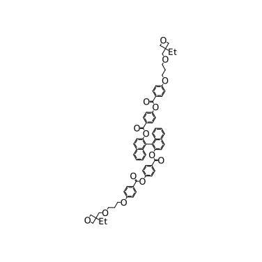 CCC1(COCCCOc2ccc(C(=O)Oc3ccc(C(=O)Oc4ccc5ccccc5c4-c4c(OC(=O)c5ccc(OC(=O)c6ccc(OCCCOCC7(CC)COC7)cc6)cc5)ccc5ccccc45)cc3)cc2)COC1